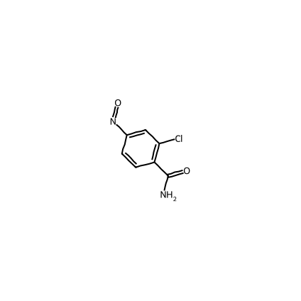 NC(=O)c1ccc(N=O)cc1Cl